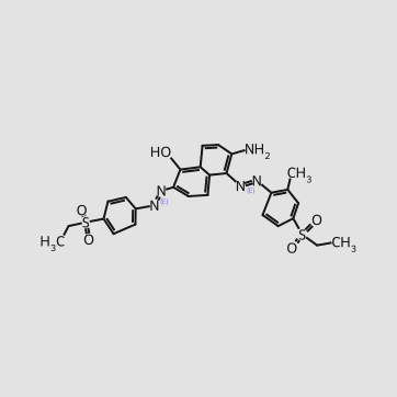 CCS(=O)(=O)c1ccc(/N=N/c2ccc3c(/N=N/c4ccc(S(=O)(=O)CC)cc4C)c(N)ccc3c2O)cc1